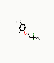 Cc1cc(C(=O)O)ccc1OCCC(F)(F)C(F)(F)F